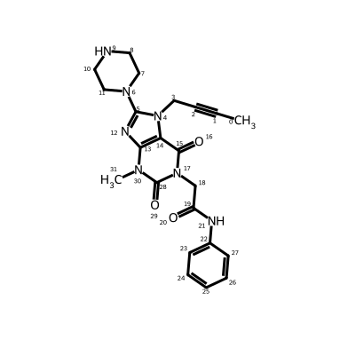 CC#CCn1c(N2CCNCC2)nc2c1c(=O)n(CC(=O)Nc1ccccc1)c(=O)n2C